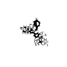 CCC(C)(C)N[S+]([O-])c1ccc(-c2cc(S(=O)(=O)N3CCOCC3)c(C)n2CC2CCCCC2)cc1C(F)(F)F